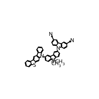 C[Si]1(C)c2ccc(-n3c4ccc(C#N)cc4c4cc(C#N)ccc43)cc2-c2cc(-n3c4ccccc4c4cc5c(cc43)sc3ccccc35)ccc21